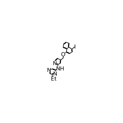 CCc1cncc(Nc2cc(COc3ccc(I)c4ccccc34)ccn2)n1